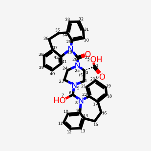 O=C(O)[C@@H]1CN(C(O)N2c3ccccc3CCc3ccccc32)CCN1C(=O)N1c2ccccc2CCc2ccccc21